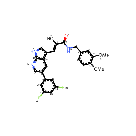 COc1ccc(CNC(=O)/C(C#N)=C/c2c[nH]c3ncc(-c4cc(F)cc(F)c4)cc23)cc1OC